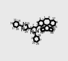 C1=Cc2ccc(-c3cc(-c4cnc(-c5ccccc5)nc4)nc(-c4ccccc4)n3)cc2C2(c3ccccc31)c1ccccc1-c1ccccc12